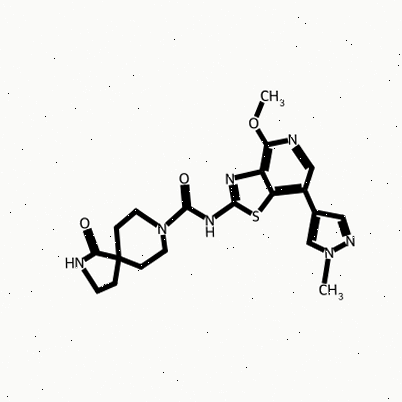 COc1ncc(-c2cnn(C)c2)c2sc(NC(=O)N3CCC4(CCNC4=O)CC3)nc12